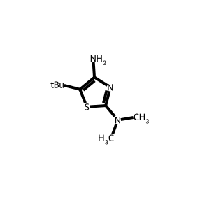 CN(C)c1nc(N)c(C(C)(C)C)s1